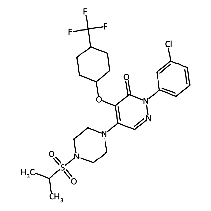 CC(C)S(=O)(=O)N1CCN(c2cnn(-c3cccc(Cl)c3)c(=O)c2OC2CCC(C(F)(F)F)CC2)CC1